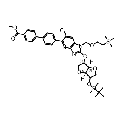 COC(=O)c1ccc(-c2ccc(-c3nc4nc(O[C@@H]5CO[C@@H]6C(O[Si](C)(C)C(C)(C)C)CO[C@@H]65)n(COCC[Si](C)(C)C)c4cc3Cl)cc2)cc1